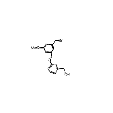 COc1cc(CBr)cc(COc2cccc(CO)c2)c1